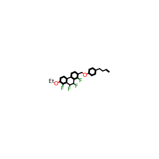 C=CCCc1ccc(OCc2ccc3c(c2F)C(F)C(F)c2c-3ccc(OCC)c2F)cc1